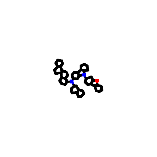 c1ccc2cc(N(c3ccc4c5ccccc5n(-c5ccc6c(c5)oc5ccccc56)c4c3)c3cccc4c3ccc3c5ccccc5ccc43)ccc2c1